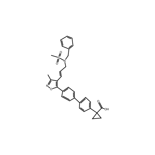 Cc1noc(-c2ccc(-c3ccc(C4(C(=O)O)CC4)cc3)cc2)c1/C=C/CN(Cc1ccccc1)S(C)(=O)=O